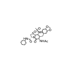 CC(=O)Nc1c(Cc2ccc3c(c2)OCO3)c(NS(C)(=O)=O)c2n(c1=O)[C@H](C(=O)Nc1ccccc1)CS2